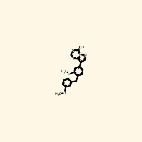 COc1cccc(Cc2ccc(-c3cnn4c(O)ncnc34)cc2OC)c1